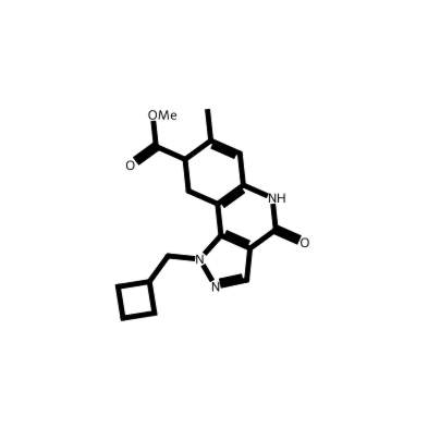 COC(=O)C1Cc2c([nH]c(=O)c3cnn(CC4CCC4)c23)C=C1C